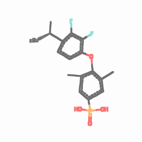 CCCC[C@@H](C)c1ccc(Oc2c(C)cc(P(=O)(O)O)cc2C)c(F)c1F